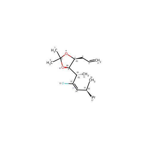 C=CC[C@@H]1OC(C)(C)O[C@@H]1[C@H](C)/C(F)=C\[C@@H](C)C(C)C